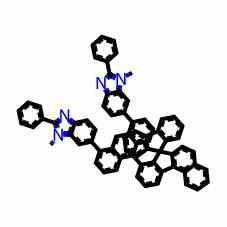 Cn1c(-c2ccccc2)nc2ccc(-c3cccc4c(-c5cccc6c5C5(c7ccccc7-c7ccccc75)c5ccc7ccccc7c5-6)c5cccc(-c6ccc7nc(-c8ccccc8)n(C)c7c6)c5cc34)cc21